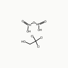 O=[PH](O)O[PH](=O)O.OCC(Cl)(Cl)Cl